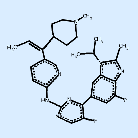 C/C=C(\c1ccc(Nc2ncc(F)c(-c3cc(F)c4nc(C)n(C(C)C)c4c3)n2)nc1)C1CCN(C)CC1